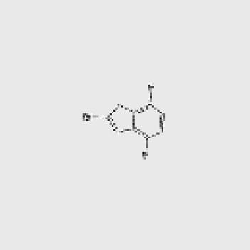 Fc1ccc(F)c2c1C=C(Br)C2